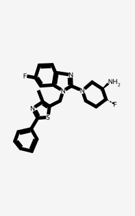 Cc1nc(-c2ccccc2)sc1Cn1c(N2CC[C@@H](F)[C@H](N)C2)nc2ccc(F)cc21